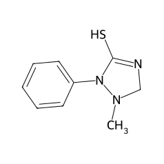 CN1CN=C(S)N1c1ccccc1